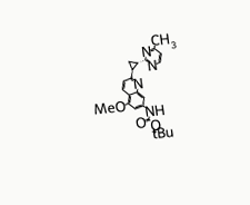 COc1cc(NC(=O)OC(C)(C)C)cc2nc([C@H]3C[C@@H]3c3nccc(C)n3)ccc12